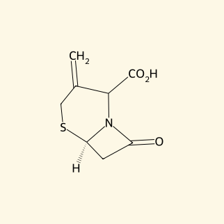 C=C1CS[C@@H]2CC(=O)N2C1C(=O)O